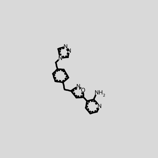 Nc1ncccc1-c1cc(Cc2ccc(Cn3cnnc3)cc2)no1